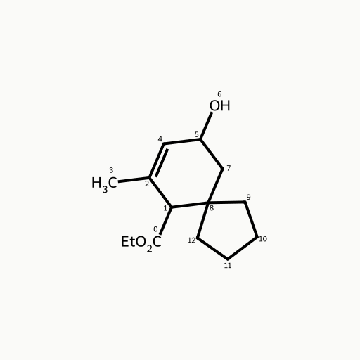 CCOC(=O)C1C(C)=CC(O)CC12CCCC2